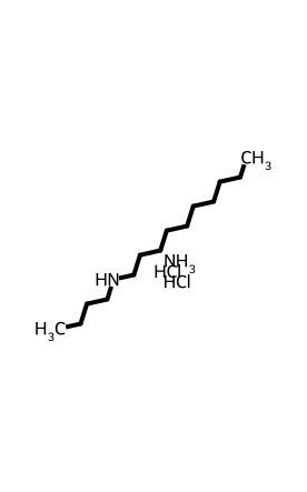 CCCCCCCCCCNCCCC.Cl.Cl.N